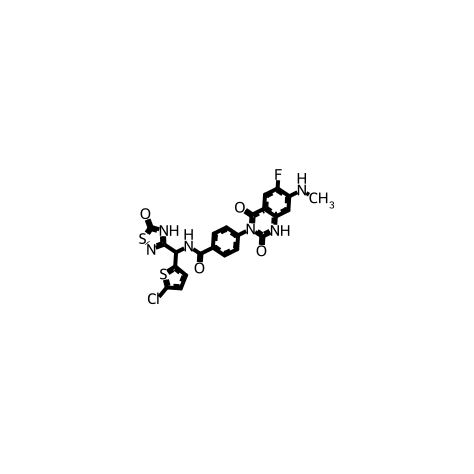 CNc1cc2[nH]c(=O)n(-c3ccc(C(=O)NC(c4nsc(=O)[nH]4)c4ccc(Cl)s4)cc3)c(=O)c2cc1F